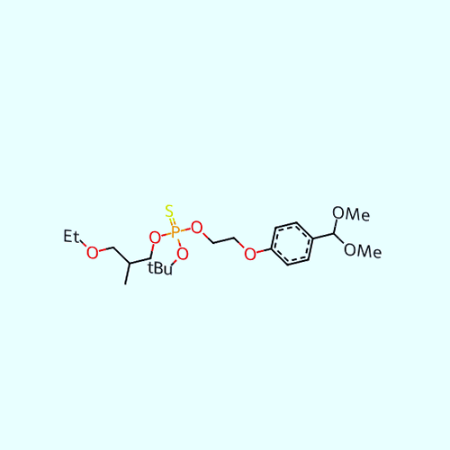 CCOCC(C)COP(=S)(OCCOc1ccc(C(OC)OC)cc1)OC(C)(C)C